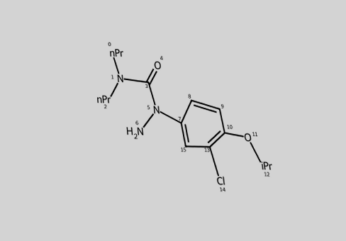 CCCN(CCC)C(=O)N(N)c1ccc(OC(C)C)c(Cl)c1